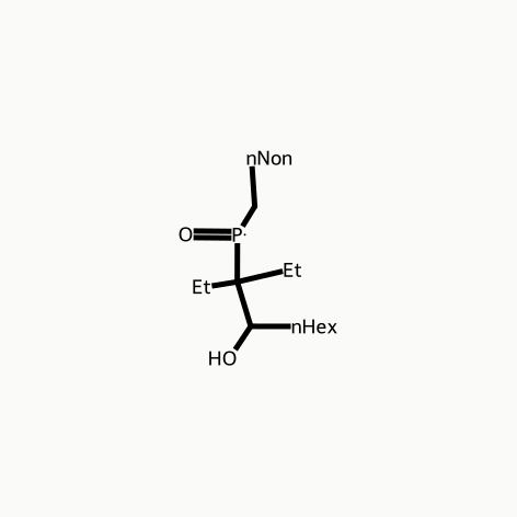 CCCCCCCCCC[P](=O)C(CC)(CC)C(O)CCCCCC